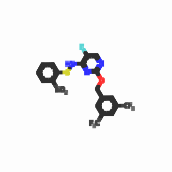 O=[N+]([O-])c1ccccc1SNc1nc(OCc2cc(C(F)(F)F)cc(C(F)(F)F)c2)ncc1F